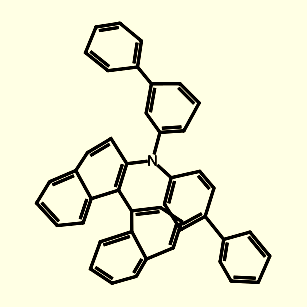 c1ccc(-c2ccc(N(c3cccc(-c4ccccc4)c3)c3ccc4ccccc4c3-c3cccc4ccccc34)cc2)cc1